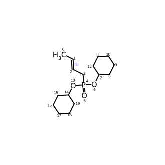 C/C=C/CP(=O)(OC1CCCCC1)OC1CCCCC1